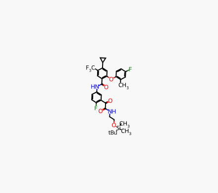 Cc1cc(F)ccc1Oc1cc(C2CC2)c(C(F)(F)F)cc1C(=O)Nc1ccc(F)c(C(=O)C(=O)NCCO[Si](C)(C)C(C)(C)C)c1